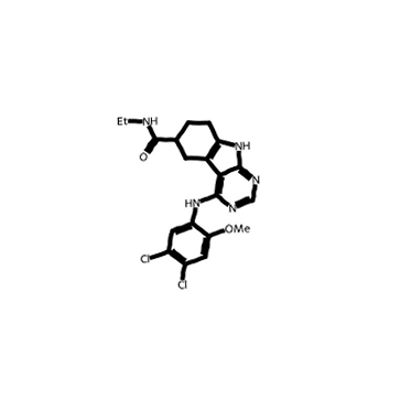 CCNC(=O)C1CCc2[nH]c3ncnc(Nc4cc(Cl)c(Cl)cc4OC)c3c2C1